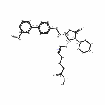 COC(=O)CCC/C=C\C[C@H]1[C@H](N2CCOCC2)C(=O)C[C@H]1OCc1ccc(-c2cccc(OC)c2)cc1